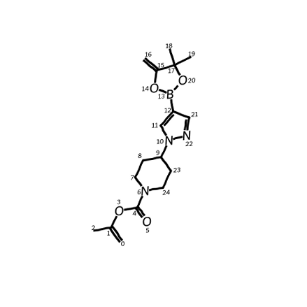 C=C(C)OC(=O)N1CCC(n2cc(B3OC(=C)C(C)(C)O3)cn2)CC1